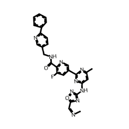 C/N=C\c1nc(Nc2cc(C)nc(-c3cnc(C(=O)NCc4ccc(-c5ccccc5)nc4)c(F)c3)n2)no1